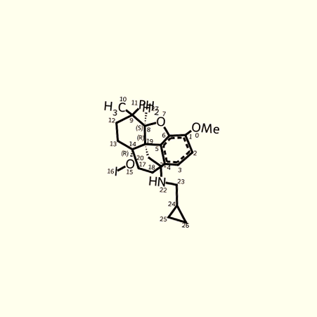 COc1ccc2c3c1O[C@@H]1C(C)(P)CC[C@](OI)(CC2)[C@]31CCNCC1CC1